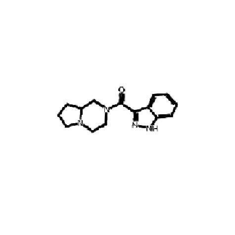 O=C(c1n[nH]c2ccccc12)N1CCN2CCCC2C1